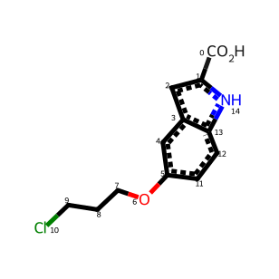 O=C(O)c1cc2cc(OCCCCl)ccc2[nH]1